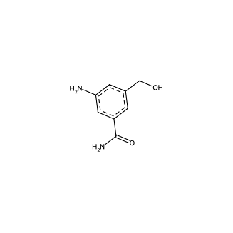 NC(=O)c1cc(N)cc(CO)c1